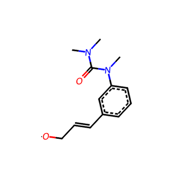 CN(C)C(=O)N(C)c1cccc(/C=C/C[O])c1